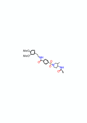 C=CC(=O)NC1CCN(S(=O)(=O)c2ccc(C(=O)NCCc3ccc(OC)c(OC)c3)cc2)CC1C